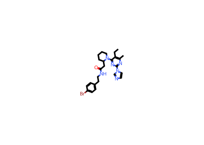 CCc1c(C)nc(-n2ccnc2)nc1N1CCCCC1CC(=O)NCCc1ccc(Br)cc1